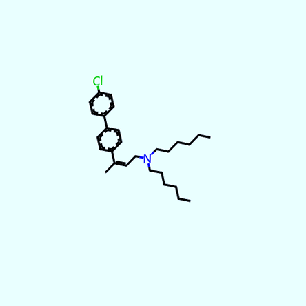 CCCCCCN(C/C=C(/C)c1ccc(-c2ccc(Cl)cc2)cc1)CCCCCC